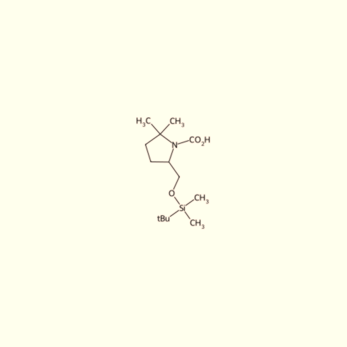 CC1(C)CCC(CO[Si](C)(C)C(C)(C)C)N1C(=O)O